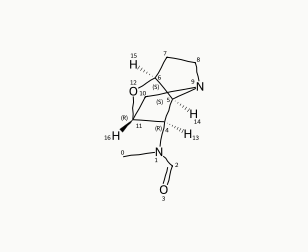 CN(C=O)[C@@H]1[C@H]2[C@@H]3CCN2C[C@H]1O3